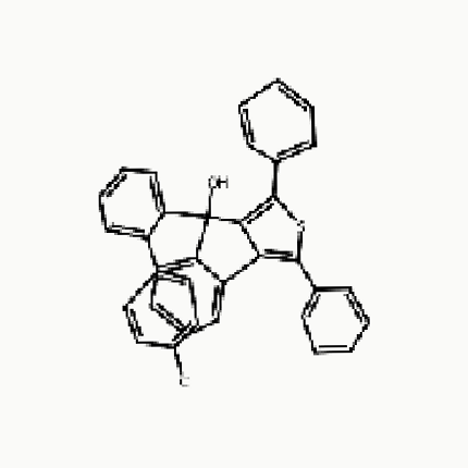 OC1(c2ccccc2-c2ccc(Cl)cc2)c2ccccc2-c2c(-c3ccccc3)sc(-c3ccccc3)c21